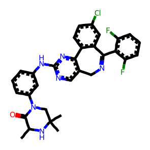 CC1NC(C)(C)CN(c2cccc(Nc3ncc4c(n3)-c3ccc(Cl)cc3C(c3c(F)cccc3F)=NC4)c2)C1=O